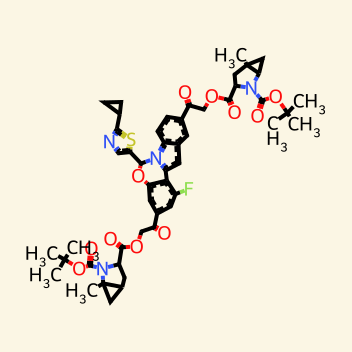 CC(C)(C)OC(=O)N1C(C(=O)OCC(=O)c2ccc3c(c2)cc2n3C(c3cnc(C4CC4)s3)Oc3cc(C(=O)COC(=O)C4CC5CC5(C)N4C(=O)OC(C)(C)C)cc(F)c3-2)CC2(C)CC12